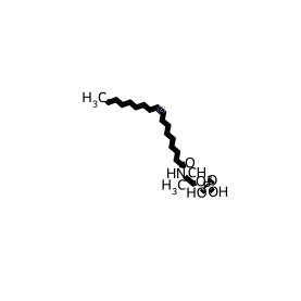 CCCCCCCC/C=C\CCCCCCCC(=O)NC(C)(C)COP(=O)(O)O